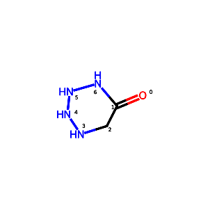 O=C1CNNNN1